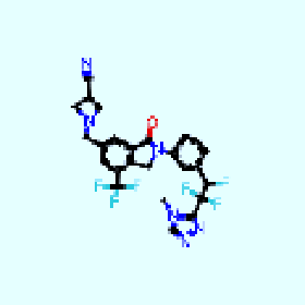 Cn1cnnc1C(F)(F)C(F)c1cccc(N2Cc3c(cc(CN4CC(C#N)C4)cc3C(F)(F)F)C2=O)c1